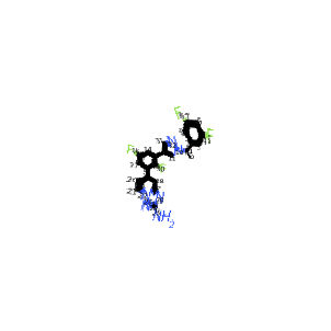 C[C@H](c1cc(F)cc(F)c1)n1cc(-c2cc(F)cc(-c3ccn4nc(N)nc4c3)c2F)cn1